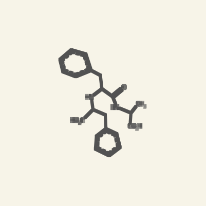 CC(NC(=O)C(Cc1ccccc1)NC(Cc1ccccc1)C(=O)O)C(=O)O